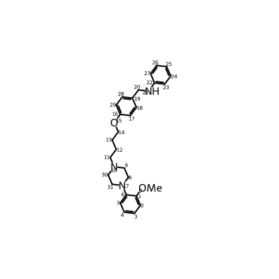 COc1ccccc1N1CCN(CCCCOc2ccc(CNc3ccccc3)cc2)CC1